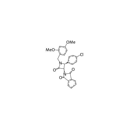 COc1ccc(CN2C(=O)[C@H](N3C(=O)c4ccccc4C3=O)[C@@H]2c2ccc(Cl)cc2)c(OC)c1